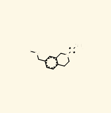 NS(=O)(=O)N1CCc2ccc(CNCl)cc2C1